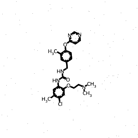 Cc1cc(NC(=O)NCc2ccc(Oc3ccncn3)c(C)c2)c(OCCN(C)C)cc1Cl